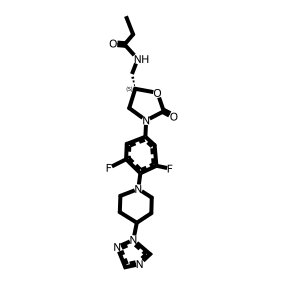 CCC(=O)NC[C@H]1CN(c2cc(F)c(N3CCC(n4cncn4)CC3)c(F)c2)C(=O)O1